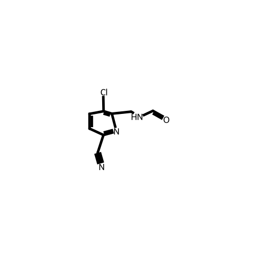 N#Cc1ccc(Cl)c(CNC=O)n1